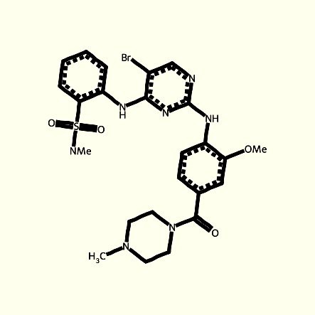 CNS(=O)(=O)c1ccccc1Nc1nc(Nc2ccc(C(=O)N3CCN(C)CC3)cc2OC)ncc1Br